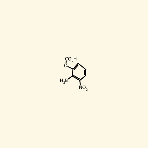 Bc1c(OC(=O)O)cccc1[N+](=O)[O-]